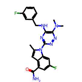 Cc1cc2c(C(N)=O)cc(F)cc2n1-c1nnc(N(C)C)c(NCc2cccc(F)c2)n1